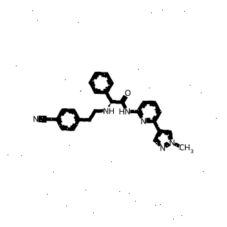 Cn1cc(-c2cccc(NC(=O)[C@H](NCCc3ccc(C#N)cc3)c3ccccc3)n2)cn1